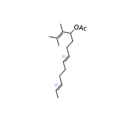 C/C=C/CC/C=C/CCC(OC(C)=O)C(C)=C(C)C